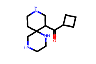 O=C(C1CCC1)C1CNCCC12CNCCN2